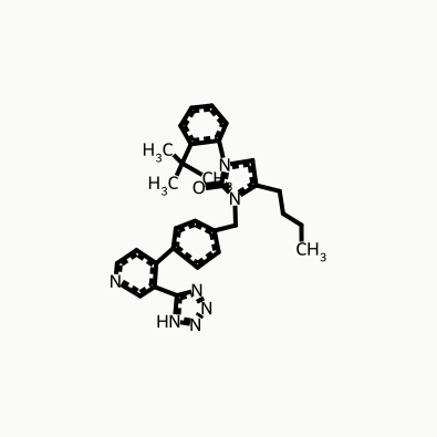 CCCCc1cn(-c2ccccc2C(C)(C)C)c(=O)n1Cc1ccc(-c2ccncc2-c2nnn[nH]2)cc1